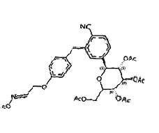 CON=CCOc1ccc(Cc2cc([C@@H]3OC(COC(C)=O)[C@@H](OC(C)=O)[C@H](OC(C)=O)[C@H]3OC(C)=O)ccc2C#N)cc1